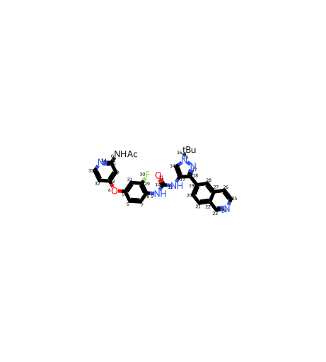 CC(=O)Nc1cc(Oc2ccc(NC(=O)Nc3cn(C(C)(C)C)nc3-c3ccc4cnccc4c3)c(F)c2)ccn1